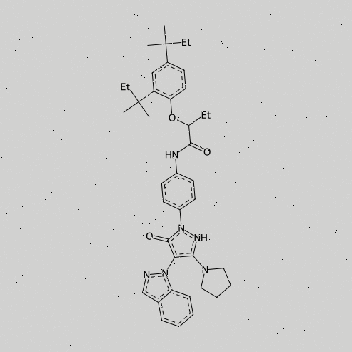 CCC(Oc1ccc(C(C)(C)CC)cc1C(C)(C)CC)C(=O)Nc1ccc(-n2[nH]c(N3CCCC3)c(-n3ncc4ccccc43)c2=O)cc1